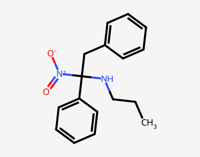 CCCNC(Cc1ccccc1)(c1ccccc1)[N+](=O)[O-]